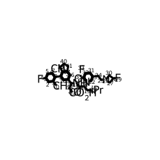 Cc1cc(F)cc(C)c1-c1cc(C(CC(=O)O)NC(=O)C(CC(C)C)n2cc(CCN3CC(F)C3)cc(F)c2=O)cc2c1CCC2